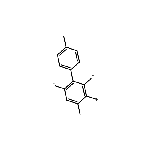 Cc1ccc(-c2c(F)cc(C)c(F)c2F)cc1